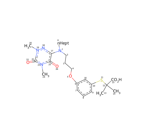 CCCCCCCN(CCCOc1cccc(SC(C)(C)C(=O)O)c1)c1nn(C)c(=O)n(C)c1=O